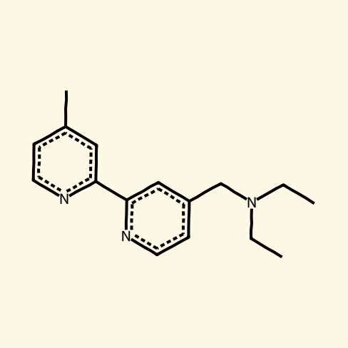 CCN(CC)Cc1ccnc(-c2cc(C)ccn2)c1